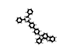 c1ccc(-c2nc(-c3ccccc3)nc(-c3ccc(-c4ccc(-n5c6ccccc6c6c7sc8ccccc8c7ccc65)cc4)cc3)n2)cc1